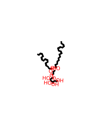 CC/C=C\C/C=C\C/C=C\C/C=C\CCC(=O)OC(COC(=O)CCCCCCC/C=C\C/C=C\C/C=C\CC)COC1OC(CO)C(O)C(O)C1O